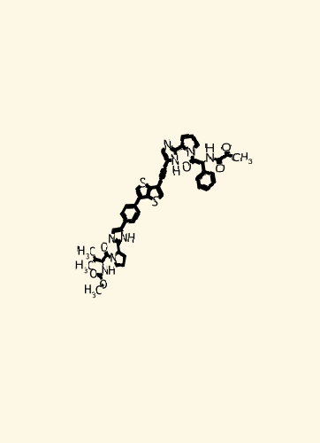 COC(=O)N[C@H](C(=O)N1CCCC1c1ncc(-c2ccc(-c3csc4c(C#Cc5cnc(C6CCCN6C(=O)[C@H](NC(=O)C(C)=O)c6ccccc6)[nH]5)csc34)cc2)[nH]1)C(C)C